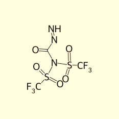 N=NC(=O)N(S(=O)(=O)C(F)(F)F)S(=O)(=O)C(F)(F)F